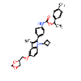 CC(OC(=O)Nc1ccc(-c2c(C#N)c3cc(OCC4COCO4)ccc3n2C2CCC2)cc1)c1ccc(C(F)(F)F)cc1